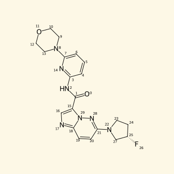 O=C(Nc1cccc(N2CCOCC2)n1)c1cnc2ccc(N3CC[C@H](F)C3)nn12